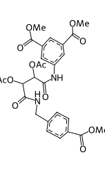 COC(=O)c1ccc(CNC(=O)C(OC(C)=O)C(OC(C)=O)C(=O)Nc2cc(C(=O)OC)cc(C(=O)OC)c2)cc1